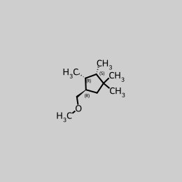 COC[C@@H]1CC(C)(C)[C@@H](C)[C@H]1C